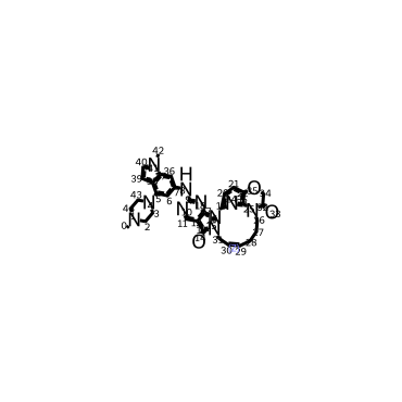 CN1CCN(c2cc(Nc3ncc4c(=O)n5n(c4n3)-c3ccc4c(n3)N(CCC/C=C\C5)C(=O)CO4)cc3c2ccn3C)CC1